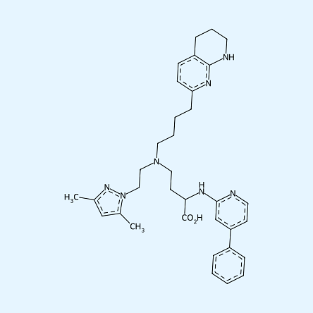 Cc1cc(C)n(CCN(CCCCc2ccc3c(n2)NCCC3)CCC(Nc2cc(-c3ccccc3)ccn2)C(=O)O)n1